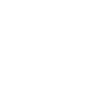 C[C]1C=CC(C)C1